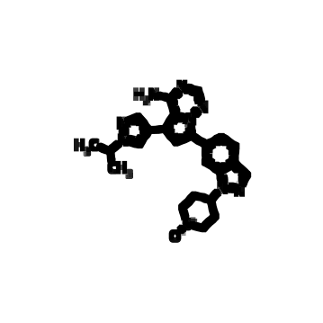 CC(C)n1cc(-c2cc(-c3ccc4cnn(C5CC[S+]([O-])CC5)c4c3)n3ncnc(N)c23)cn1